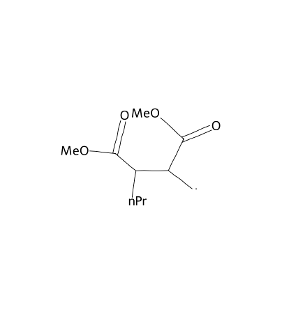 [CH2]C(C(=O)OC)C(CCC)C(=O)OC